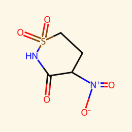 O=C1NS(=O)(=O)CCC1[N+](=O)[O-]